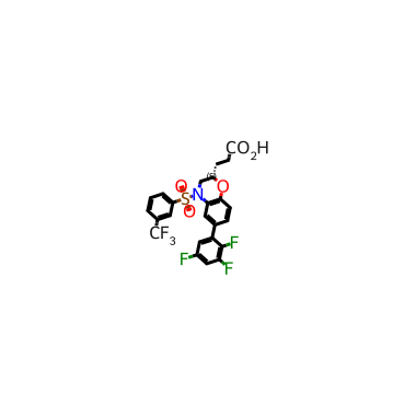 O=C(O)CC[C@H]1CN(S(=O)(=O)c2cccc(C(F)(F)F)c2)c2cc(-c3cc(F)cc(F)c3F)ccc2O1